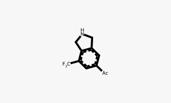 CC(=O)c1cc2c(c(C(F)(F)F)c1)CNC2